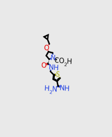 N=C(N)c1csc(CNC(=O)[C@@H]2C[C@@H](OCC3CC3)CN2C(=O)O)c1